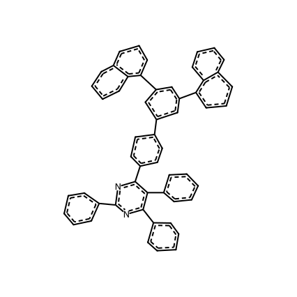 c1ccc(-c2nc(-c3ccccc3)c(-c3ccccc3)c(-c3ccc(-c4cc(-c5cccc6ccccc56)cc(-c5cccc6ccccc56)c4)cc3)n2)cc1